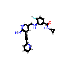 Nc1ncc(CNc2cc(C(=O)NC3CC3)ccc2F)cc1C#Cc1ccccn1